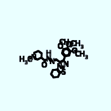 COc1cc(-c2nc3sc4c(n3c2C=NNC(=O)C2CCCN(C)C2)CCCC4)cc(OC)c1OC